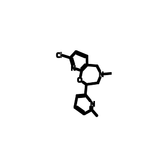 Cc1cccc(C2CN(C)Cc3ccc(Cl)nc3O2)n1